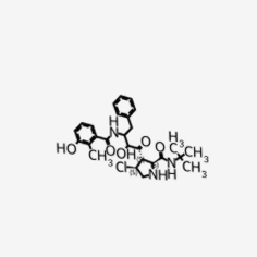 Cc1c(O)cccc1C(=O)NC(Cc1ccccc1)C(O)C(=O)[C@H]1[C@H](Cl)CN[C@@H]1C(=O)NC(C)(C)C